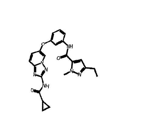 CCc1cc(C(=O)Nc2cccc(Oc3ccc4nc(NC(=O)C5CC5)nn4c3)c2)n(C)n1